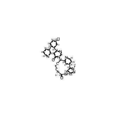 C[C@@H]1CCC[C@H](n2cnc(-c3cc(Cl)ccc3-c3cccnc3)cc2=O)c2cc(ccn2)-c2c(cnn2C)NC1=O